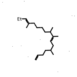 C=CCCC(C)C/C=C(\C)C(C)CCCC/C(C)=C/CC